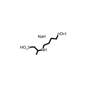 CCCCCCCCCCCCNC(C)CS(=O)(=O)O.[NaH]